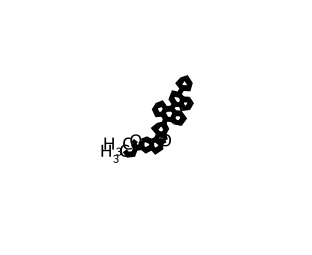 C/C=C\c1c(C)oc2cc3c(ccc4oc5cc(-c6c7ccccc7c(-c7ccc(-c8ccccc8)c8ccccc78)c7ccccc67)ccc5c43)cc12